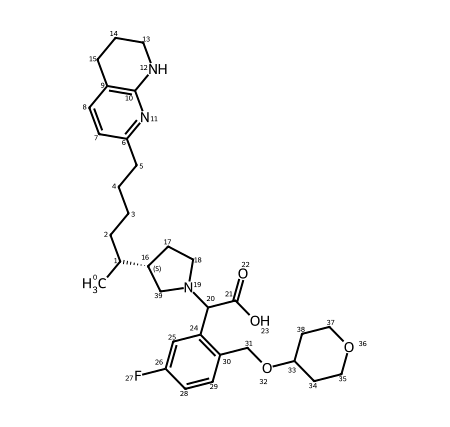 CC(CCCCc1ccc2c(n1)NCCC2)[C@@H]1CCN(C(C(=O)O)c2cc(F)ccc2COC2CCOCC2)C1